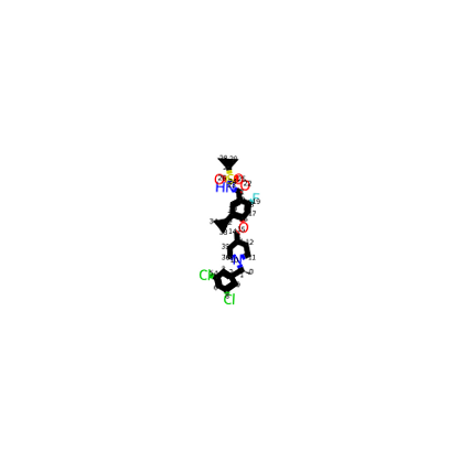 C[C@H](c1cc(Cl)cc(Cl)c1)N1CCC(COc2cc(F)c(C(=O)NS(=O)(=O)C3CC3)cc2C2CC2)CC1